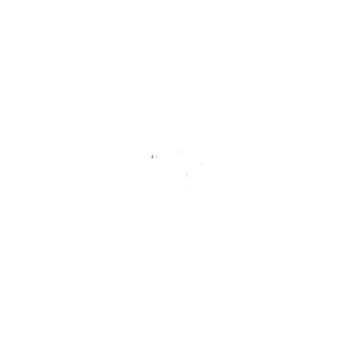 O.O.O.O.O.O.[SnH2].[Zn]